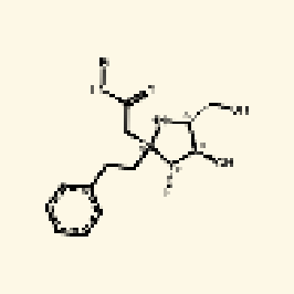 CCNC(=O)C[C@@]1(CCc2ccccc2)N[C@H](CO)[C@@H](O)[C@@H]1F